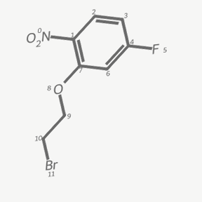 O=[N+]([O-])c1ccc(F)cc1OCCBr